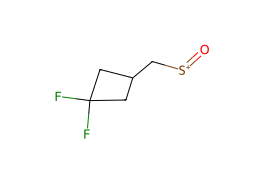 O=[S+]CC1CC(F)(F)C1